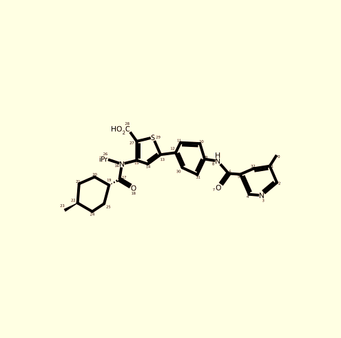 Cc1cncc(C(=O)Nc2ccc(-c3cc(N(C(=O)[C@H]4CC[C@H](C)CC4)C(C)C)c(C(=O)O)s3)cc2)c1